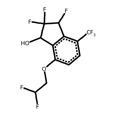 OC1c2c(OCC(F)F)ccc(C(F)(F)F)c2C(F)C1(F)F